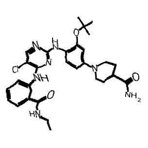 CCNC(=O)c1ccccc1Nc1nc(Nc2ccc(N3CCC(C(N)=O)CC3)cc2OC(C)(C)C)ncc1Cl